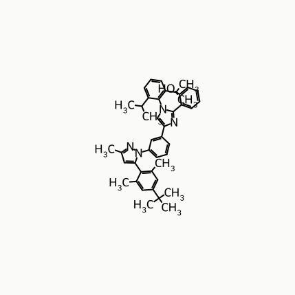 Cc1cc(-c2c(C)cc(C(C)(C)C)cc2C)n(-c2cccc(-c3cn(-c4c(C(C)C)cccc4C(C)C)c(-c4ccccc4O)n3)c2)n1